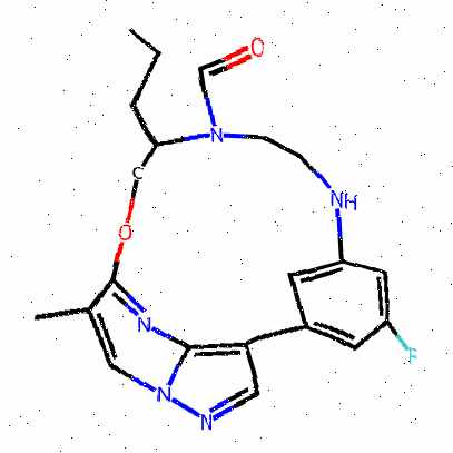 CCCC1COc2nc3c(cnn3cc2C)-c2cc(F)cc(c2)NCCN1C=O